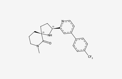 CN1CCC[C@]2(CC[C@@H](c3cc(-c4ccc(C(F)(F)F)cc4)ccn3)N2)C1=O